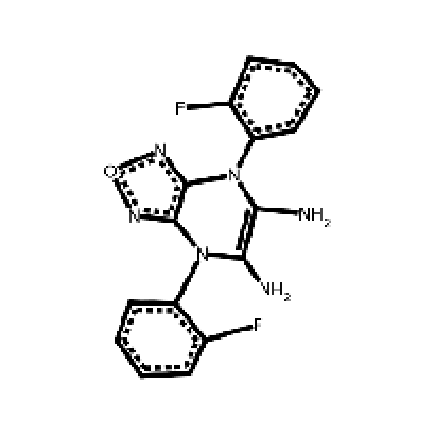 NC1=C(N)N(c2ccccc2F)c2nonc2N1c1ccccc1F